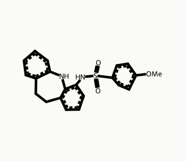 COc1ccc(S(=O)(=O)Nc2cccc3c2Nc2ccccc2CC3)cc1